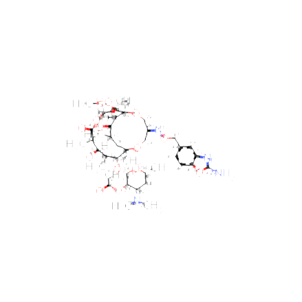 CC[C@H]1OC(=O)[C@H](C)C(=O)[C@H](C)[C@@H](O[C@@H]2O[C@H](C)C[C@H](N(C)C)[C@H]2OC(C)=O)[C@@]2(C)C[C@@H](C)C(=O)[C@H](C)[C@@H](OCC(=NOCc3ccc4oc(N)nc4c3)CO2)[C@]1(C)O